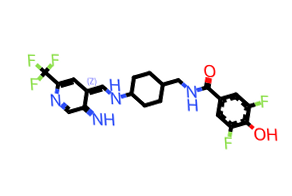 N=C1C=NC(C(F)(F)F)=C/C1=C/NC1CCC(CNC(=O)c2cc(F)c(O)c(F)c2)CC1